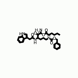 CCCCCC(=O)OC(N)C(=O)C(CCCNC(=O)OCc1ccccc1)NC(=O)Cc1c[nH]c2ccccc12